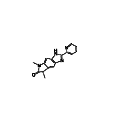 CC1C(=O)N(C)c2cc3[nH]c(-c4ccccn4)nc3cc21